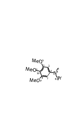 COc1cc(N(C)C(C)C)cc(OC)c1OC